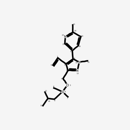 C=Cc1c(CO[Si](C)(C)CC(C)C)nn(C)c1-c1ccc(C)nc1